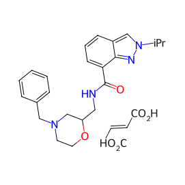 CC(C)n1cc2cccc(C(=O)NCC3CN(Cc4ccccc4)CCO3)c2n1.O=C(O)/C=C/C(=O)O